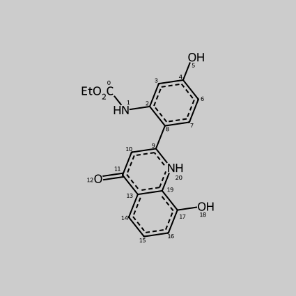 CCOC(=O)Nc1cc(O)ccc1-c1cc(=O)c2cccc(O)c2[nH]1